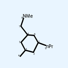 CCCC1CC(C)CC(CNC)C1